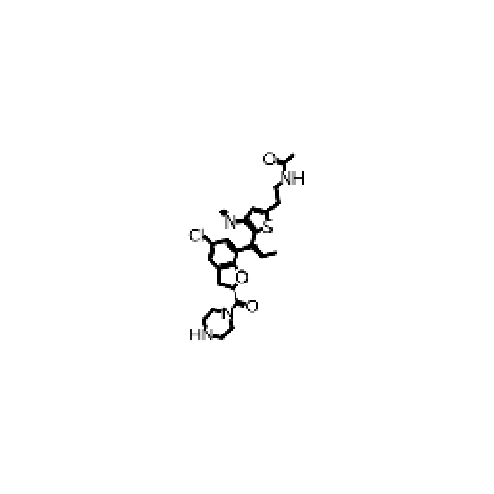 C=Nc1cc(CCNC(C)=O)sc1/C(=C\C)c1cc(Cl)cc2c1O[C@@H](C(=O)N1CCNCC1)C2